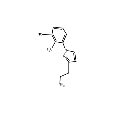 N#Cc1cccc(-n2ccc(CCN)n2)c1C(F)(F)F